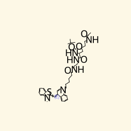 CC(=O)NCCCCC(NC(=O)OC(C)(C)C)C(=O)NCCNC(=O)CCCCCN1C=C/C(=C\c2sc3ccccc3[n+]2C)c2ccccc21